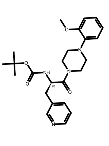 COc1ccccc1N1CCN(C(=O)[C@@H](Cc2cccnc2)NC(=O)OC(C)(C)C)CC1